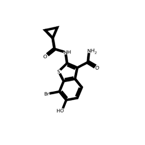 NC(=O)c1c(NC(=O)C2CC2)sc2c(Br)c(O)ccc12